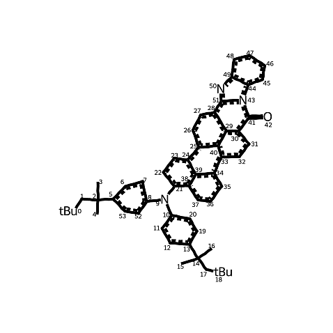 CC(C)(C)CC(C)(C)c1ccc(N(c2ccc(C(C)(C)CC(C)(C)C)cc2)c2ccc3c4ccc5c6c(ccc(c7cccc2c73)c46)c(=O)n2c3ccccc3nc52)cc1